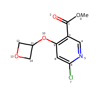 COC(=O)c1cnc(Cl)cc1OC1COC1